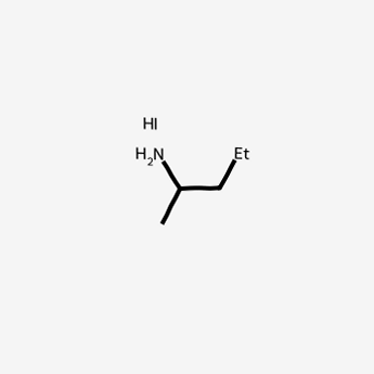 CCCC(C)N.I